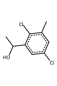 Cc1cc(Cl)cc(C(C)O)c1Cl